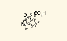 Cc1ccc2c3c(cnn3C)c(=O)n(CCC(=O)O)c2c1